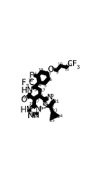 O=C1N[C@@](c2ccc(OCCCC(F)(F)F)cc2F)(C(F)(F)F)CC(c2ncc(C3CC3)s2)=C1c1nnn[nH]1